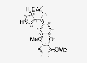 COc1ccccc1Oc1ccc(C(CC(C)=O)c2c[nH]nc2C)cc1OC